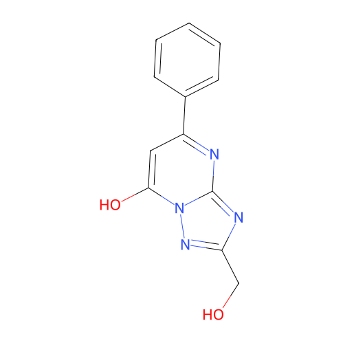 OCc1nc2nc(-c3ccccc3)cc(O)n2n1